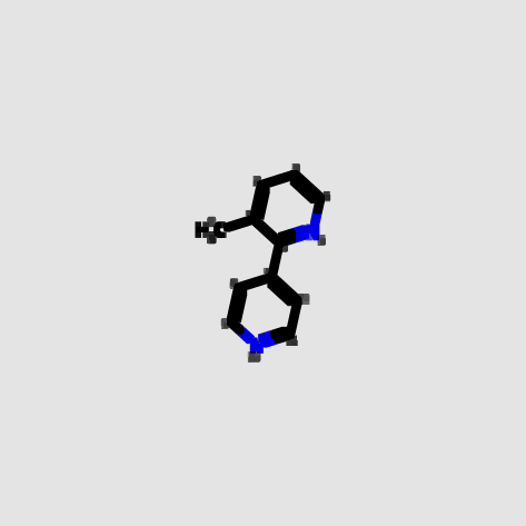 Cc1cccnc1-c1ccncc1